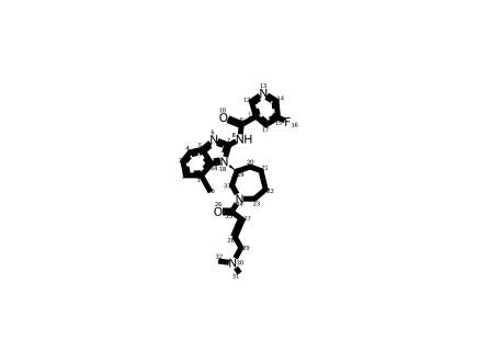 Cc1cccc2nc(NC(=O)c3cncc(F)c3)n([C@@H]3CCCCN(C(=O)/C=C/CN(C)C)C3)c12